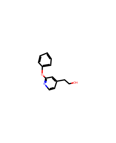 OCCc1ccnc(Oc2ccccc2)c1